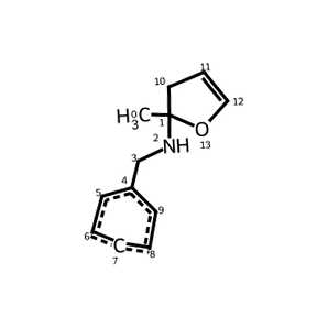 CC1(NCc2ccccc2)CC=CO1